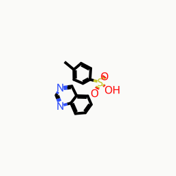 Cc1ccc(S(=O)(=O)O)cc1.c1ccc2ncncc2c1